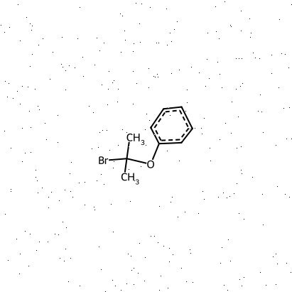 CC(C)(Br)Oc1ccccc1